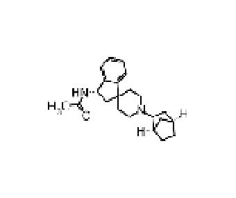 CC(=O)N[C@H]1CC2(CCN(C3C[C@H]4CC[C@@H]3C4)CC2)c2ccccc21